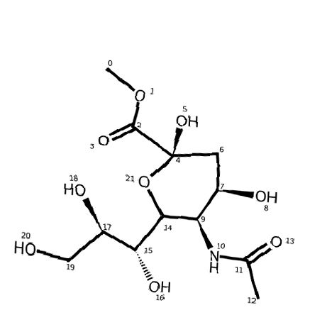 COC(=O)[C@]1(O)C[C@@H](O)[C@@H](NC(C)=O)C([C@H](O)[C@H](O)CO)O1